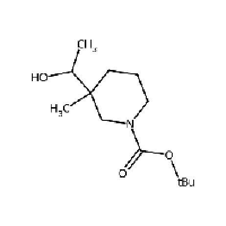 CC(O)C1(C)CCCN(C(=O)OC(C)(C)C)C1